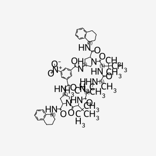 CN[C@@H](C)C(=O)NC(C(=O)N1C[C@@H](NC(=O)c2cc(C(=O)N[C@H]3CC(C(=O)N[C@@H]4CCCc5ccccc54)N(C(=O)[C@@H](NC(=O)[C@H](C)NC)C(C)(C)C)C3)cc([N+](=O)[O-])c2)CC1C(=O)N[C@@H]1CCCc2ccccc21)C(C)(C)C